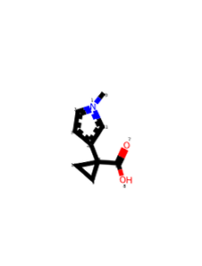 Cn1ccc(C2(C(=O)O)CC2)c1